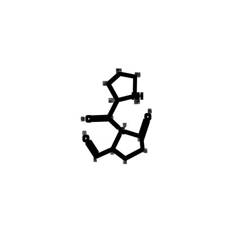 O=[C]C1CCC(=O)N1C(=O)C1CCCN1